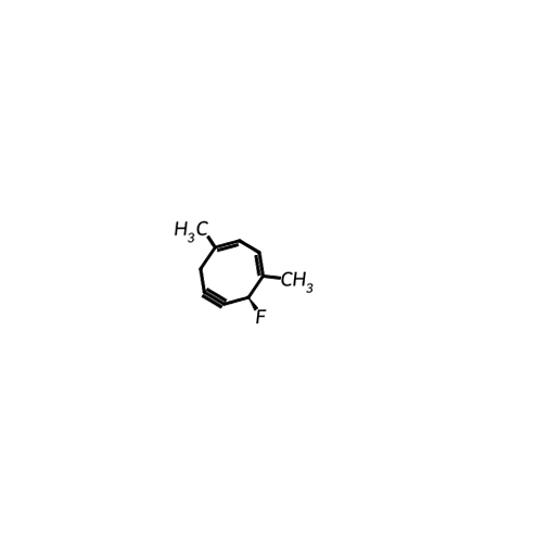 C/C1=C/C=C(/C)[C@@H](F)C#CC1